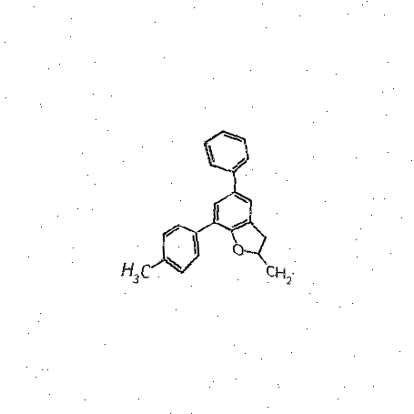 [CH2]C1Cc2cc(-c3ccccc3)cc(-c3ccc(C)cc3)c2O1